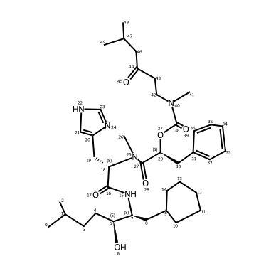 CC(C)CC[C@H](O)[C@H](CC1CCCCC1)NC(=O)[C@H](Cc1c[nH]cn1)N(C)C(=O)[C@H](Cc1ccccc1)OC(=O)N(C)CCC(=O)CC(C)C